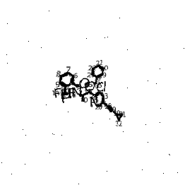 CC(NC(=O)c1ccccc1C(F)(F)F)C(OCc1ccccc1)c1ncc(C#CC2CC2)cc1Cl